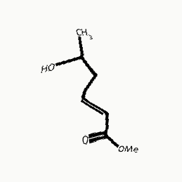 COC(=O)C=CCC(C)O